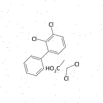 CC(=O)O.ClCCl.Clc1cccc(-c2ccccc2)c1Cl